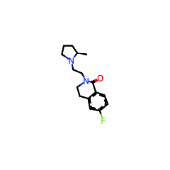 C[C@@H]1CCCN1CCN1CCc2cc(F)ccc2C1=O